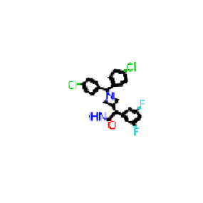 [NH]C(=O)C(c1cc(F)cc(F)c1)C1CN(C(c2ccc(Cl)cc2)c2ccc(Cl)cc2)C1